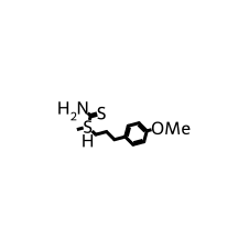 COc1ccc(CCC[SH](C)C(N)=S)cc1